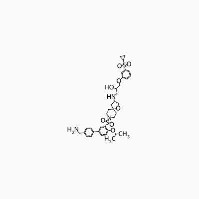 CC(C)Oc1ccc(-c2ccc(CN)cc2)cc1S(=O)(=O)N1CCC2(CC1)CC(NCC(O)COc1cccc(S(=O)(=O)C3CC3)c1)CO2